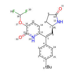 CC(C)(C)c1ccc(C(=C[C@H]2CCC(=O)N2)c2ccc(OC(F)F)c(=O)[nH]2)cc1